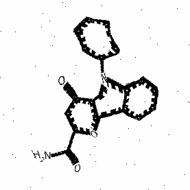 NC(=O)c1cc(=O)c2c(o1)c1ccccc1n2-c1ccccc1